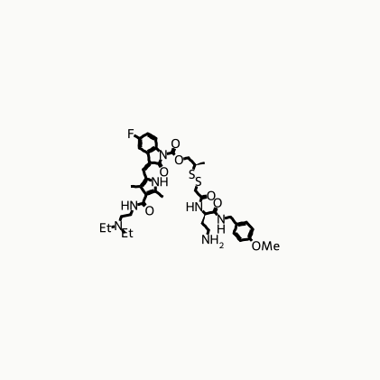 CCN(CC)CCNC(=O)c1c(C)[nH]c(/C=C2\C(=O)N(C(=O)OC[C@@H](C)SSCC(=O)N[C@H](CCN)C(=O)NCc3ccc(OC)cc3)c3ccc(F)cc32)c1C